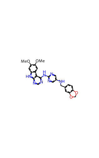 COc1cc2[nH]c3ncnc(Nc4ncc(NCc5ccc6c(c5)OCO6)cn4)c3c2cc1OC